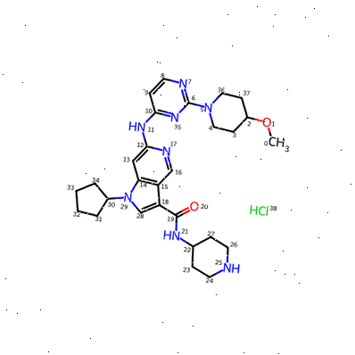 COC1CCN(c2nccc(Nc3cc4c(cn3)c(C(=O)NC3CCNCC3)cn4C3CCCC3)n2)CC1.Cl